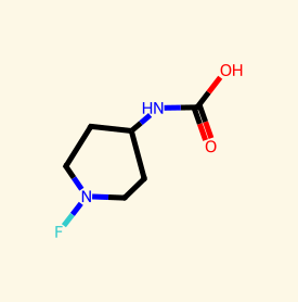 O=C(O)NC1CCN(F)CC1